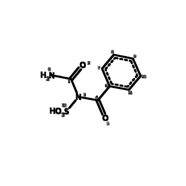 NC(=O)N(C(=O)c1ccccc1)S(=O)(=O)O